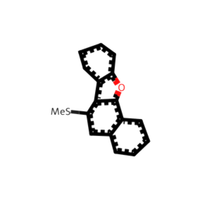 CSc1cc2ccccc2c2oc3ccccc3c12